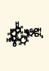 CC(C)(O)CC(=O)N1CCC[C@@H](n2c(=O)[nH]c3cnc4[nH]ccc4c32)C1